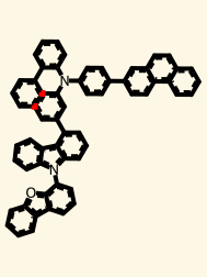 c1ccc(-c2ccccc2N(c2ccc(-c3ccc4c(ccc5ccccc54)c3)cc2)c2cccc(-c3cccc4c3c3ccccc3n4-c3cccc4c3oc3ccccc34)c2)cc1